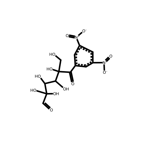 O=CC(O)(O)C(O)C(O)C(O)(CO)C(=O)c1cc([N+](=O)[O-])cc([N+](=O)[O-])c1